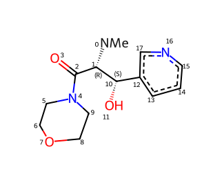 CN[C@@H](C(=O)N1CCOCC1)[C@@H](O)c1cccnc1